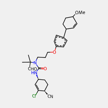 COC1C=CC(c2ccc(OCCCN(C(=O)N[C@@H]3C=C(Cl)[C@H](C#N)CC3)C(C)(C)C=O)cc2)CC1